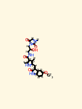 Cc1[nH]c(C=C2C(=O)Nc3ccc(OC(F)(F)F)cc32)c(C)c1C(=O)NCC(O)CN1C(=O)CN(C)C1=O